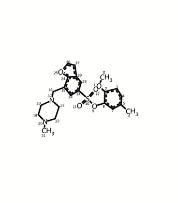 COc1ccc(C)cc1OS(=O)(=O)c1cc(CN2CCN(C)CC2)c2occc2c1